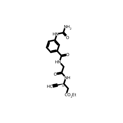 C#C[C@H](CC(=O)OCC)NC(=O)CNC(=O)c1cccc(NC(N)=O)c1